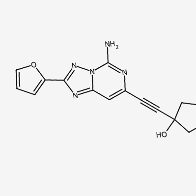 Nc1nc(C#CC2(O)CCCC2)cc2nc(-c3ccco3)nn12